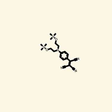 C[Si](C)(C)OCCN(CCO[Si](C)(C)C)c1ccc(C(C#N)=C(C#N)C#N)cc1